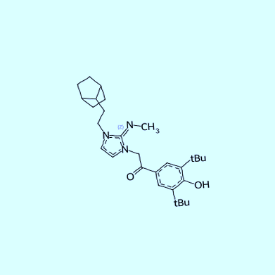 C/N=c1/n(CCC2C3CCC2CC3)ccn1CC(=O)c1cc(C(C)(C)C)c(O)c(C(C)(C)C)c1